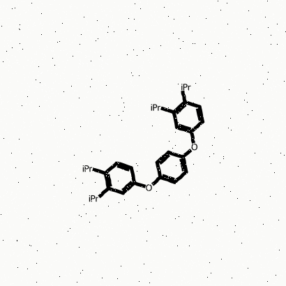 CC(C)c1ccc(Oc2ccc(Oc3ccc(C(C)C)c(C(C)C)c3)cc2)cc1C(C)C